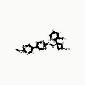 COc1ncc(-c2cnc(NC[C@]3(c4ncccc4F)C[C@H](F)C3)nc2)cn1